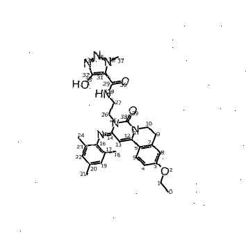 CCOc1ccc2c(c1)CCn1c-2cc(=Nc2c(C)cc(C)cc2C)n(CCNC(=O)c2c(O)nnn2C)c1=O